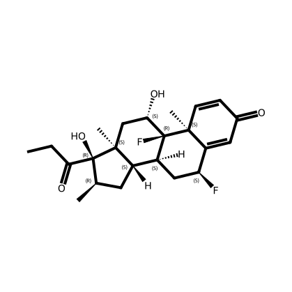 CCC(=O)[C@@]1(O)[C@H](C)C[C@H]2[C@@H]3C[C@H](F)C4=CC(=O)C=C[C@]4(C)[C@@]3(F)[C@@H](O)C[C@@]21C